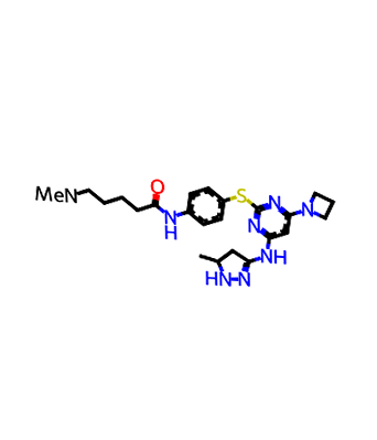 CNCCCCC(=O)Nc1ccc(Sc2nc(NC3=NNC(C)C3)cc(N3CCC3)n2)cc1